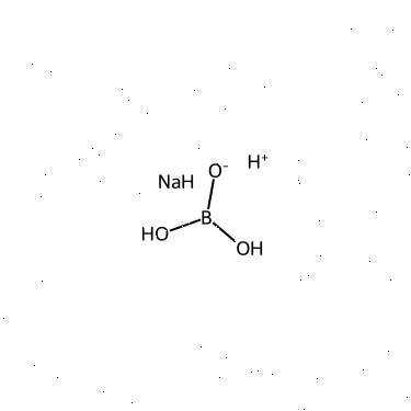 [H+].[NaH].[O-]B(O)O